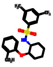 O=C(O)c1ccccc1O[C@@H]1CCCC[C@H]1NS(=O)(=O)c1cc(C(F)(F)F)cc(C(F)(F)F)c1